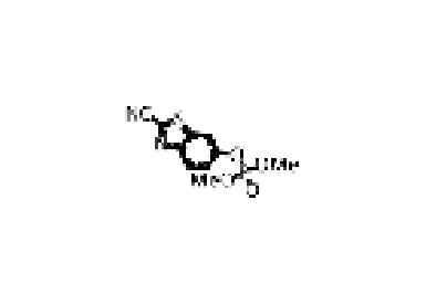 COP(=O)(OC)Oc1ccc2nc(C#N)sc2c1